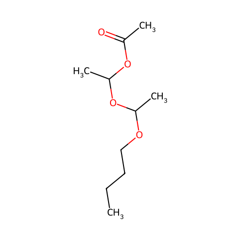 CCCCOC(C)OC(C)OC(C)=O